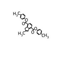 CC1=Cc2c(C(=O)Oc3ccc(C)cc3)ccc(C(=O)Oc3ccc(C)cc3)c2C1